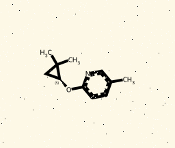 Cc1ccc(O[C@H]2CC2(C)C)nc1